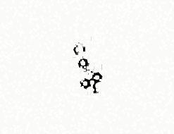 CN1CCCN(c2cc3[nH]c(-c4cccc5c4-c4ccccc4C5=NO)nc3cc2F)CC1